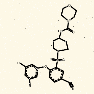 Cc1cc(Cl)cc(Oc2ccc(C#N)cc2S(=O)(=O)N2CCC(NC(=O)N3CCOCC3)CC2)c1